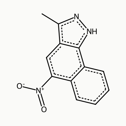 Cc1n[nH]c2c1cc([N+](=O)[O-])c1ccccc12